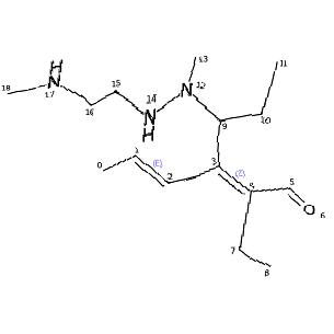 C/C=C/C(=C(/C=O)CC)C(CC)N(C)NCCNC